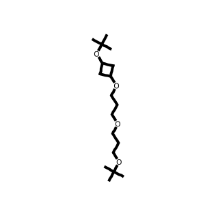 CC(C)(C)OCCCOCCCOC1CC(OC(C)(C)C)C1